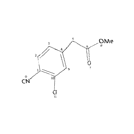 [C-]#[N+]c1ccc(CC(=O)OC)cc1Cl